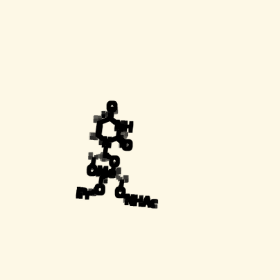 COC[C@@H](O[C@H](CONC(C)=O)COC(C)C)n1ccc(=O)[nH]c1=O